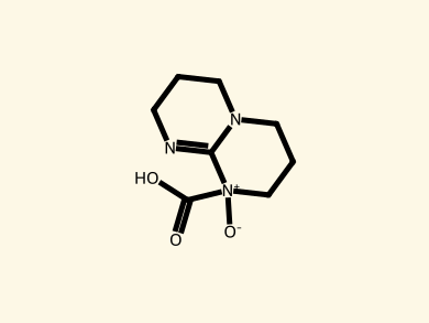 O=C(O)[N+]1([O-])CCCN2CCCN=C21